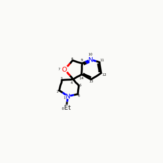 CCN1CCC2(CC1)OCc1ncccc12